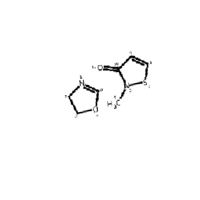 C1=NCCO1.Cn1sccc1=O